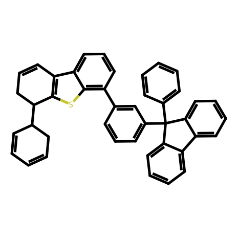 C1=CCC(C2CC=Cc3c2sc2c(-c4cccc(C5(c6ccccc6)c6ccccc6-c6ccccc65)c4)cccc32)C=C1